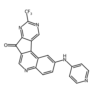 O=C1c2cnc3ccc(Nc4ccncc4)cc3c2-c2cnc(C(F)(F)F)nc21